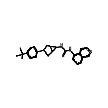 CC(C)(C)c1ccc(N2CC3C(C2)C3NC(=O)Nc2cccc3cnccc23)cc1